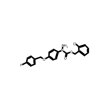 NN(C(=O)OCc1ccccc1Cl)c1ccc(OCc2ccc(F)cc2)cc1